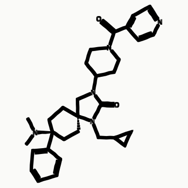 CN(C)[C@]1(c2ccccc2)CC[C@]2(CC1)CN(C1CCN(C(=O)c3ccncc3)CC1)C(=O)N2CC1CC1